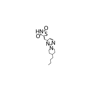 CCCCC1CCN(c2nccc(/C=C3\SC(=O)NC3=O)n2)CC1